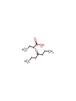 CCCC(=O)CCC.CCCC(=O)O